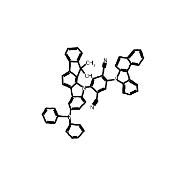 CC1(C)c2ccccc2-c2ccc3c4cc(N(c5ccccc5)c5ccccc5)ccc4n(-c4cc(C#N)c(-n5c6ccccc6c6c7ccccc7ccc65)cc4C#N)c3c21